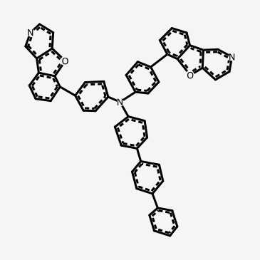 c1ccc(-c2ccc(-c3ccc(N(c4ccc(-c5cccc6c5oc5ccncc56)cc4)c4ccc(-c5cccc6c5oc5ccncc56)cc4)cc3)cc2)cc1